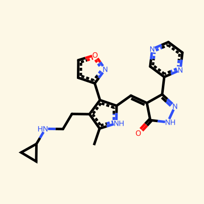 Cc1[nH]c(C=C2C(=O)NN=C2c2cnccn2)c(-c2ccon2)c1CCNC1CC1